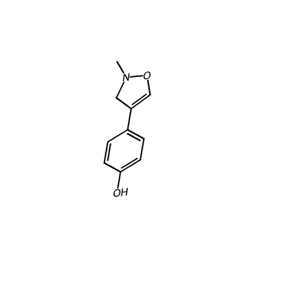 CN1CC(c2ccc(O)cc2)=CO1